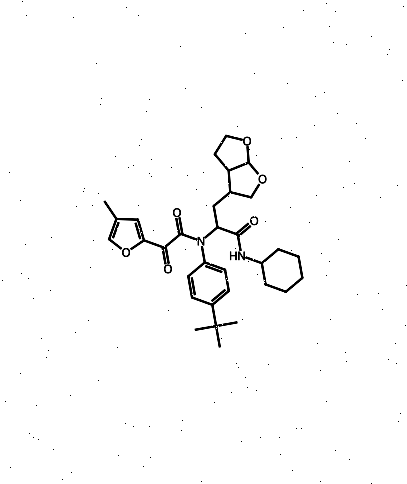 Cc1coc(C(=O)C(=O)N(c2ccc(C(C)(C)C)cc2)C(CC2COC3OCCC23)C(=O)NC2CCCCC2)c1